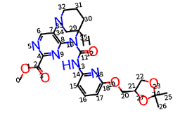 COC(=O)c1ncc2c(n1)N(C(=O)Nc1cccc(OC[C@H]3COC(C)(C)O3)n1)[C@H]1CCCN2C1